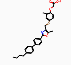 CCCCc1ccc(-c2ccc(-c3nc(CSc4ccc(OCC(=O)O)c(C)c4)c(C)o3)cc2)cc1